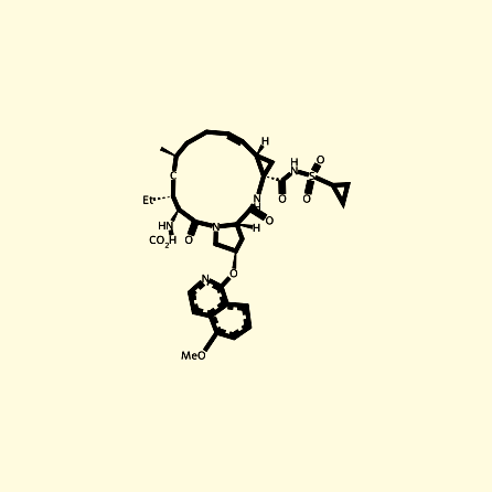 CC[C@@H]1C[C@@H](C)CC/C=C\[C@@H]2C[C@@]2(C(=O)NS(=O)(=O)C2CC2)NC(=O)[C@@H]2C[C@@H](Oc3nccc4c(OC)cccc34)CN2C(=O)[C@H]1NC(=O)O